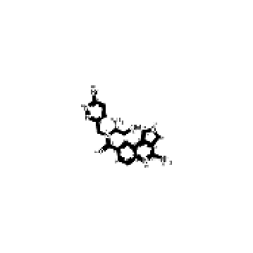 COC[C@@H](C)N(Cc1ccc(Br)nn1)C(=O)c1ccc2nc(N)c3c(c2c1)COC3